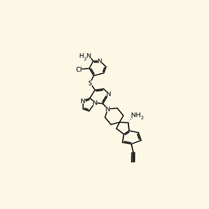 C#Cc1ccc2c(c1)CC1(CCN(c3ncc(Sc4ccnc(N)c4Cl)c4nccn34)CC1)[C@@H]2N